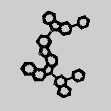 c1ccc(-c2ccc3c(c2)c2ccccc2n3-c2ccc3oc4c(ccc5c4c4c6ccccc6ccc4n5-c4nc(-c5ccccc5)c5ccccc5n4)c3c2)cc1